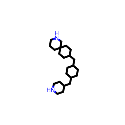 C1CNCC2(C1)CCC(CC1CCC(CC3CCNCC3)CC1)CC2